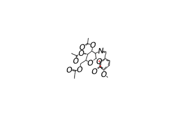 COc1ccc(/C=N\C2C(OC(C)=O)[C@H](OC(C)=O)C(COC(C)=O)O[C@H]2OC(C)=O)cc1